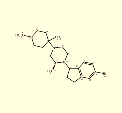 C[C@H]1CN(C2(C)CCN(C(=O)O)CC2)CCN1C1CCc2cc(Br)ccc21